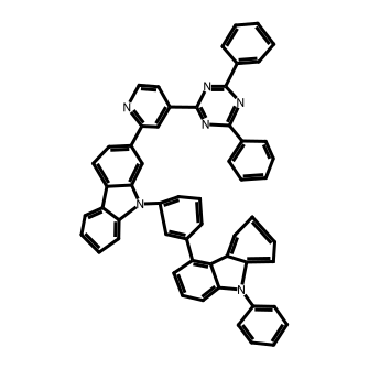 c1ccc(-c2nc(-c3ccccc3)nc(-c3ccnc(-c4ccc5c6ccccc6n(-c6cccc(-c7cccc8c7c7ccccc7n8-c7ccccc7)c6)c5c4)c3)n2)cc1